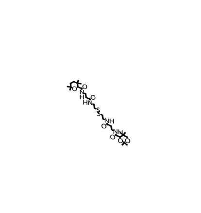 CC1(C)CCC(C)(C)C(C(=O)NCCC(=O)NCCSSCCNC(=O)CCNC(=O)C2OC(C)(C)OCC2(C)C)O1